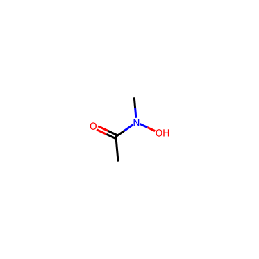 CC(=O)N(C)O